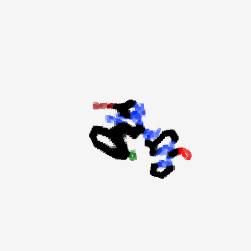 O=C(N1CCCC1)N1CCCC(CNc2cc(-c3ccccc3Cl)nc3c(Br)cnn23)C1